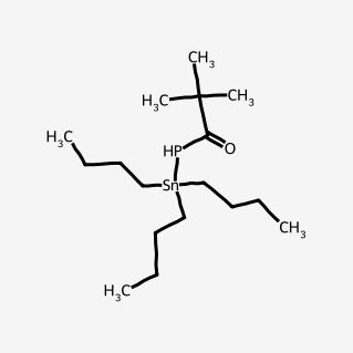 CCC[CH2][Sn]([CH2]CCC)([CH2]CCC)[PH]C(=O)C(C)(C)C